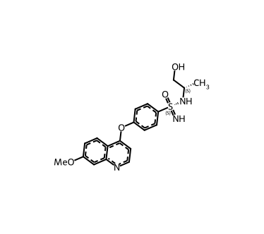 COc1ccc2c(Oc3ccc([S@](=N)(=O)N[C@@H](C)CO)cc3)ccnc2c1